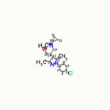 Cc1nn(-c2ccc(Cl)cc2)c(C)c1C(C=O)CN(C)C1CC1